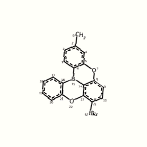 Cc1ccc2c(c1)Oc1ccc(C(C)(C)C)c3c1B2c1ccccc1O3